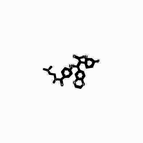 CN(C)CCN(C)C(=O)c1ccc(N/C(=C2\C(=O)Nc3cc(F)ccc32)c2ccc3c(c2)OC=CO3)cc1